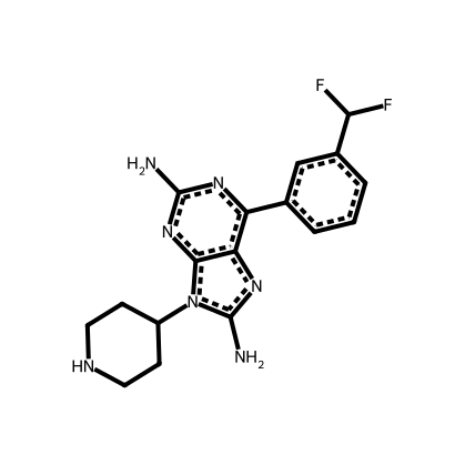 Nc1nc(-c2cccc(C(F)F)c2)c2nc(N)n(C3CCNCC3)c2n1